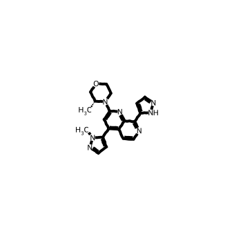 C[C@@H]1COCCN1c1cc(-c2ccnn2C)c2ccnc(-c3ccn[nH]3)c2n1